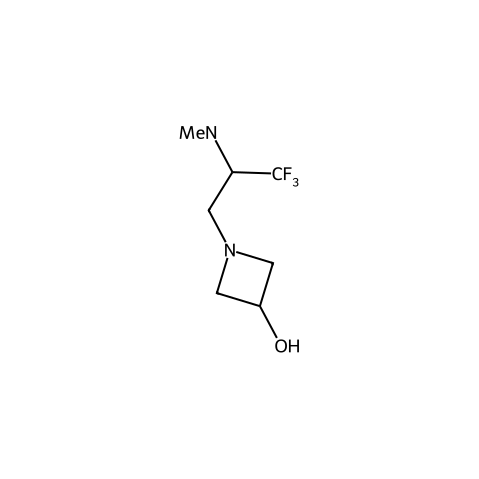 CNC(CN1CC(O)C1)C(F)(F)F